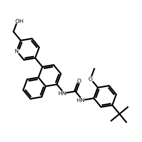 COc1ccc(C(C)(C)C)cc1NC(=O)Nc1ccc(-c2ccc(CO)nc2)c2ccccc12